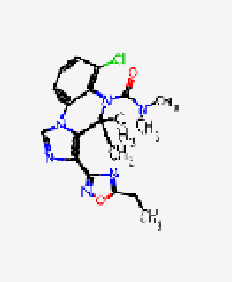 CCc1nc(-c2ncn3c2C(C)(C)N(C(=O)N(C)C)c2c(Cl)cccc2-3)no1